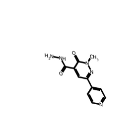 Cn1nc(-c2ccncc2)cc(C(=O)NN)c1=O